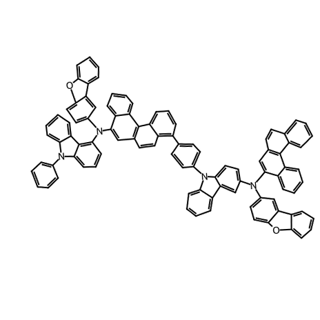 c1ccc(-n2c3ccccc3c3c(N(c4ccc5oc6ccccc6c5c4)c4cc5ccc6c(-c7ccc(-n8c9ccccc9c9cc(N(c%10ccc%11oc%12ccccc%12c%11c%10)c%10cc%11ccc%12ccccc%12c%11c%11ccccc%10%11)ccc98)cc7)cccc6c5c5ccccc45)cccc32)cc1